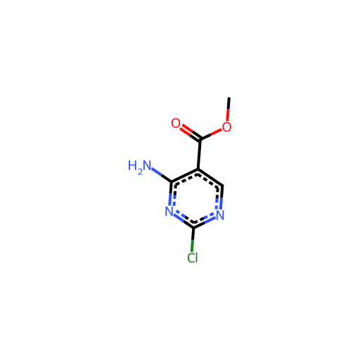 COC(=O)c1cnc(Cl)nc1N